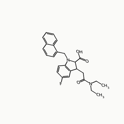 CCN(CC)C(=O)CC1c2cc(F)ccc2N(Cc2cccc3ccccc23)C1C(=O)O